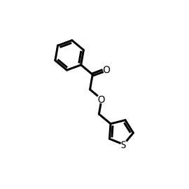 O=C(COCc1ccsc1)c1ccccc1